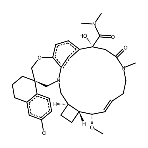 CO[C@H]1/C=C/CCN(C)C(=O)C[C@](O)(C(=O)N(C)C)c2ccc3c(c2)N(C[C@@H]2CC[C@H]21)C[C@@]1(CCCc2cc(Cl)ccc21)CO3